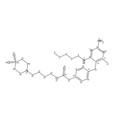 CCCCCNc1nc(N)nc(C)c1Cc1ccc(CC(=O)OCCCCN2CCS(=O)(=O)CC2)cc1